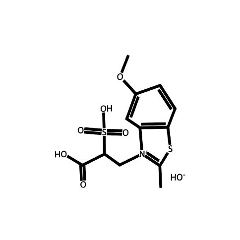 COc1ccc2sc(C)[n+](CC(C(=O)O)S(=O)(=O)O)c2c1.[OH-]